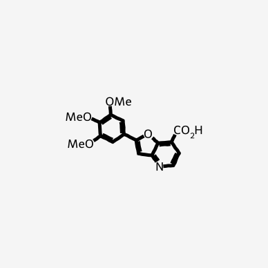 COc1cc(-c2cc3nccc(C(=O)O)c3o2)cc(OC)c1OC